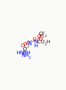 N=C(N)Nc1ccc2c(c1)CCc1nc(CCC(=O)N[C@@H](CC(=O)OC(=O)C(F)(F)F)C(=O)O)ccc1OC2=O